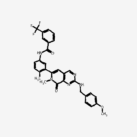 COc1ccc(CNc2ncc3cc(-c4cc(NC(=O)c5cccc(C(F)(F)F)c5)ccc4C)n(C)c(=O)c3n2)cc1